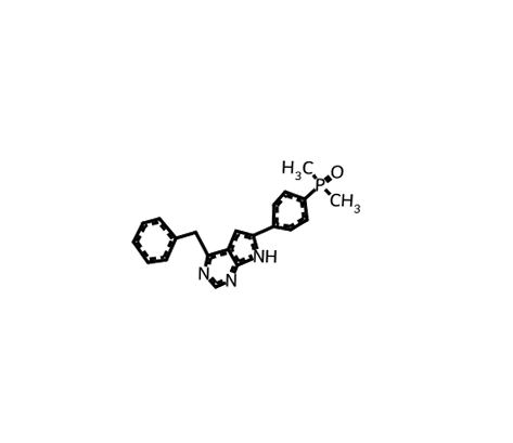 CP(C)(=O)c1ccc(-c2cc3c(Cc4ccccc4)ncnc3[nH]2)cc1